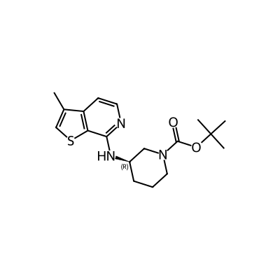 Cc1csc2c(N[C@@H]3CCCN(C(=O)OC(C)(C)C)C3)nccc12